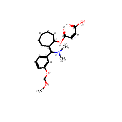 COCOc1cccc(C(C2CCCCCC2OC(=O)/C=C\C(=O)O)N(C)C)c1